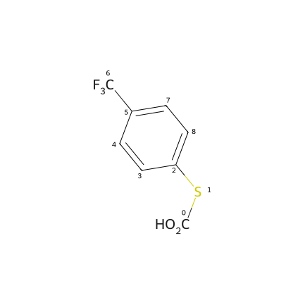 O=C(O)Sc1ccc(C(F)(F)F)cc1